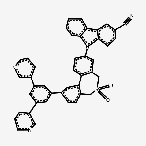 N#Cc1ccc2c(c1)c1ccccc1n2-c1ccc2c(c1)CS(=O)(=O)Cc1ccc(-c3cc(-c4cccnc4)cc(-c4cccnc4)c3)cc1-2